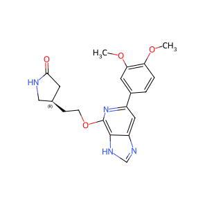 COc1ccc(-c2cc3nc[nH]c3c(OCC[C@H]3CNC(=O)C3)n2)cc1OC